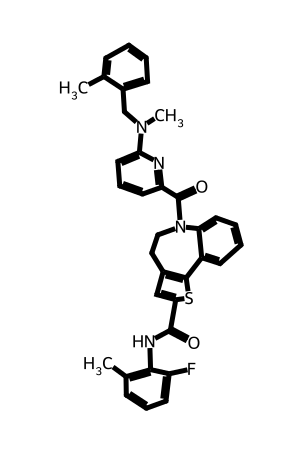 Cc1ccccc1CN(C)c1cccc(C(=O)N2CCc3cc(C(=O)Nc4c(C)cccc4F)sc3-c3ccccc32)n1